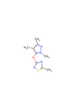 Cc1nc(Oc2c(C)c(C)nn2C)ns1